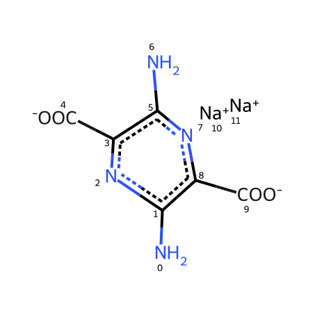 Nc1nc(C(=O)[O-])c(N)nc1C(=O)[O-].[Na+].[Na+]